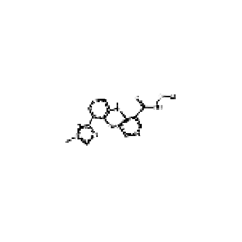 CCONC(=O)c1cnccc1Nc1cccc(-c2ncn(C)n2)c1OC